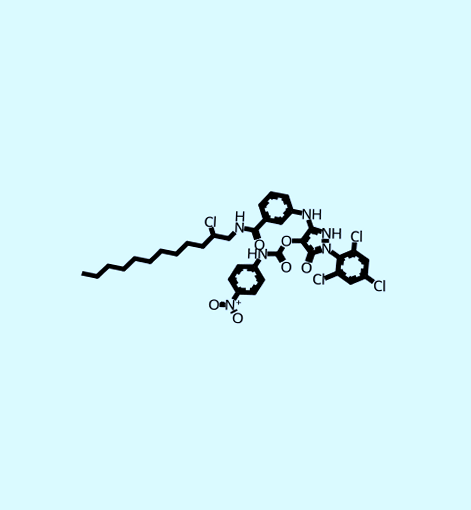 CCCCCCCCCCC(Cl)CNC(=O)c1cccc(Nc2[nH]n(-c3c(Cl)cc(Cl)cc3Cl)c(=O)c2OC(=O)Nc2ccc([N+](=O)[O-])cc2)c1